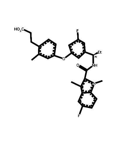 CC[C@@H](NC(=O)c1c(C)c2cc(F)ccc2n1C)c1cc(F)cc(Oc2ccc(CCC(=O)O)c(C)c2)c1